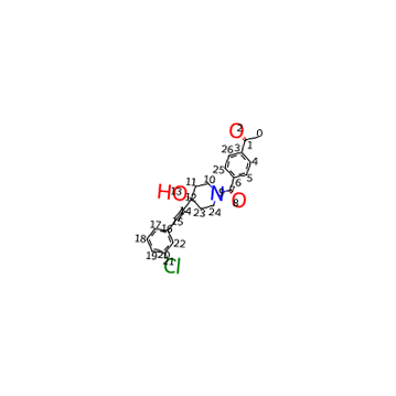 CC(=O)c1ccc(C(=O)N2CCC(O)(C#Cc3cccc(Cl)c3)CC2)cc1